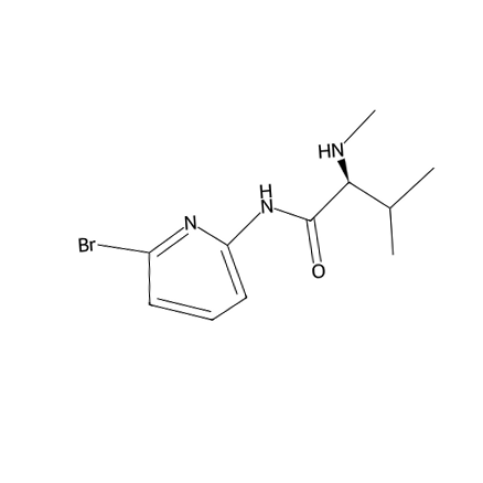 CN[C@H](C(=O)Nc1cccc(Br)n1)C(C)C